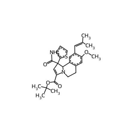 COc1cc2c(cc1C=C(C)C)C1N(CC2)C(C(=O)OC(C)(C)C)=CC1(C(N)=O)c1cccs1